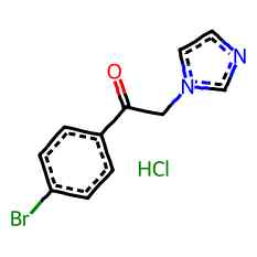 Cl.O=C(Cn1ccnc1)c1ccc(Br)cc1